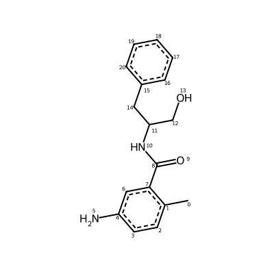 Cc1ccc(N)cc1C(=O)NC(CO)Cc1ccccc1